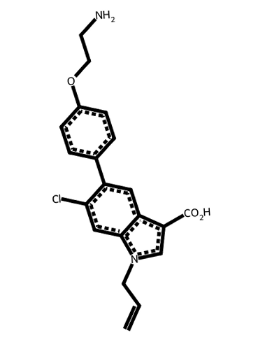 C=CCn1cc(C(=O)O)c2cc(-c3ccc(OCCN)cc3)c(Cl)cc21